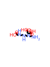 NCCN(CCNCCNCC(=O)O)C(CC(=O)O)C(=O)O